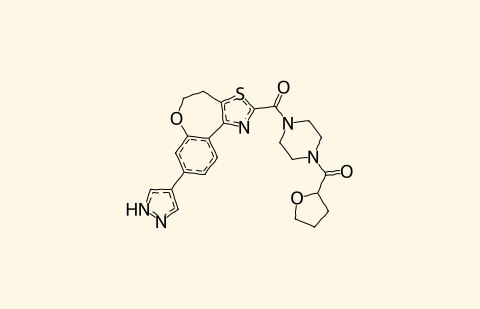 O=C(c1nc2c(s1)CCOc1cc(-c3cn[nH]c3)ccc1-2)N1CCN(C(=O)C2CCCO2)CC1